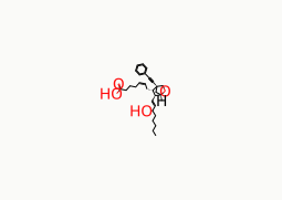 CCCCC[C@@H](O)/C=C/[C@@H]1[C@@H]2C[C@@](C#Cc3ccccc3)(CO2)[C@H]1C/C=C\CCCC(=O)O